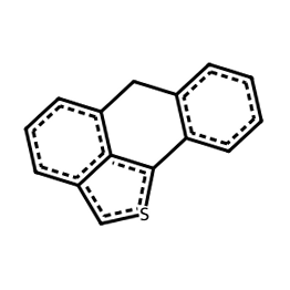 c1ccc2c(c1)Cc1cccc3csc-2c13